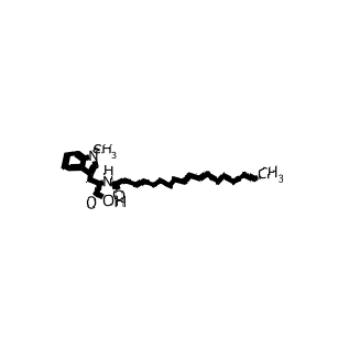 CCCCCCCCC=CCCCCCCCC(=O)NC(Cc1cn(C)c2ccccc12)C(=O)O